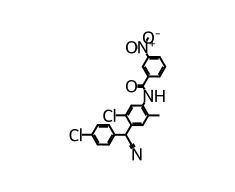 Cc1cc(C(C#N)c2ccc(Cl)cc2)c(Cl)cc1NC(=O)c1cccc([N+](=O)[O-])c1